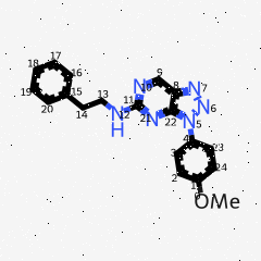 COc1ccc(-n2nnc3cnc(NCCc4ccccc4)nc32)cc1